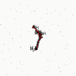 Cc1ccnc(NCCCCC(=O)NCC(=O)NC(CC(=O)O)c2ccc(-c3ccc(OCCOCCOCCOCCOCCN(N)/C=C\N)c4ccccc34)cc2)c1